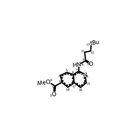 COC(=O)c1ccc2c(NC(=O)CCC(C)(C)C)nccc2c1